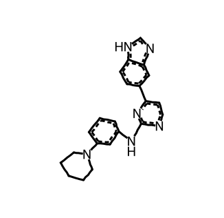 c1cc(Nc2nccc(-c3ccc4[nH]cnc4c3)n2)cc(N2CCCCC2)c1